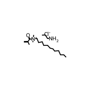 C=C(C)C(=O)[N+](C)(C)CCCCCCCCCCCC.CCCN.[Cl-]